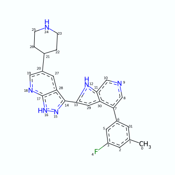 Cc1cc(F)cc(-c2cncc3[nH]c(-c4n[nH]c5ncc(C6CCNCC6)cc45)cc23)c1